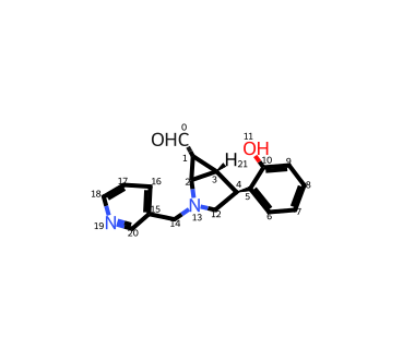 O=CC1C2[C@H]1[C@@H](c1ccccc1O)CN2Cc1cccnc1